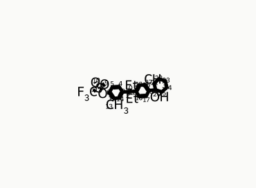 CCC(CC)(c1ccc(OS(=O)(=O)C(F)(F)F)c(C)c1)c1ccc(C2(O)CCCCC2)c(C)c1